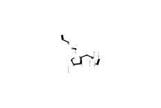 C=CCOC(=O)N1CC(S)CC1Cc1ncc[nH]1